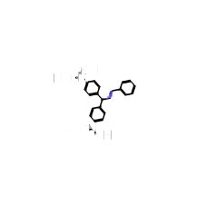 CN(C)c1ccc(C(/C=C/c2ccccc2)c2ccc(N(C)C)cc2)cc1